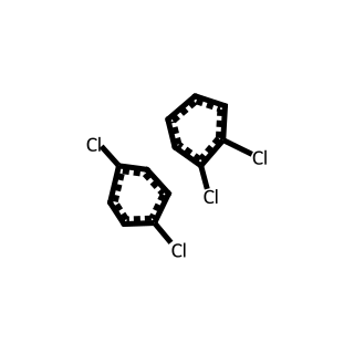 Clc1ccc(Cl)cc1.Clc1ccccc1Cl